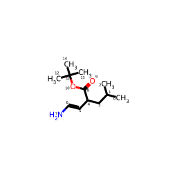 CC(C)CC(C=CN)C(=O)OC(C)(C)C